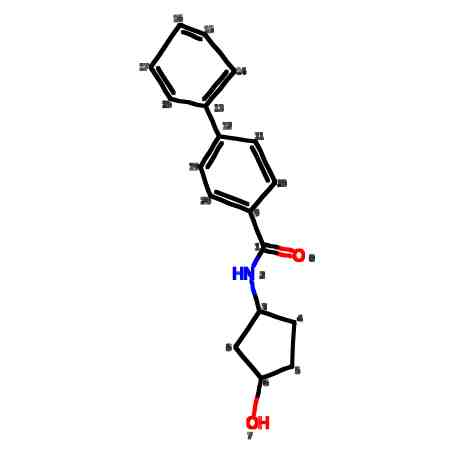 O=C(NC1CCC(O)C1)c1ccc(-c2ccccc2)cc1